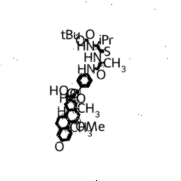 CO[C@H]1C[C@@]2(C)C(C[C@H]3O[C@@H](c4ccc(NC(=O)[C@H](C)NC(=S)[C@@H](NC(=O)OC(C)(C)C)C(C)C)cc4)O[C@]32C(=O)CO)[C@@H]2CCC3=CC(=O)C=C[C@]3(C)C21